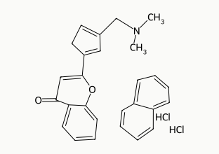 CN(C)CC1=CCC(c2cc(=O)c3ccccc3o2)=C1.Cl.Cl.c1ccc2ccccc2c1